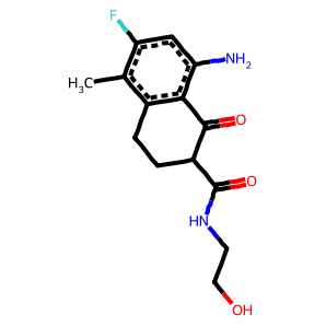 Cc1c(F)cc(N)c2c1CCC(C(=O)NCCO)C2=O